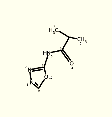 CC(C)C(=O)Nc1nnco1